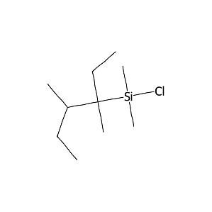 CCC(C)C(C)(CC)[Si](C)(C)Cl